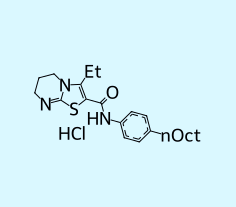 CCCCCCCCc1ccc(NC(=O)C2=C(CC)N3CCCN=C3S2)cc1.Cl